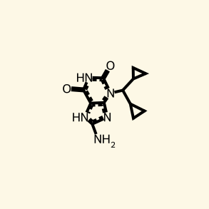 Nc1nc2c([nH]1)c(=O)[nH]c(=O)n2C(C1CC1)C1CC1